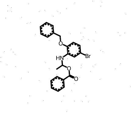 CC(Nc1cc(Br)ccc1OCc1ccccc1)OC(=O)c1ccccc1